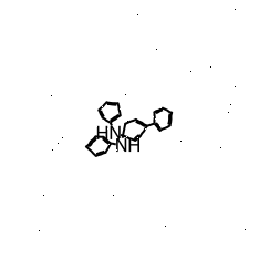 C1=CC(Nc2ccccc2)(Nc2ccccc2)CC=C1c1ccccc1